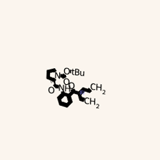 C=C/C=C(\C=C)C(=O)c1ccccc1NC(=O)[C@H]1CCCN1C(=O)OC(C)(C)C